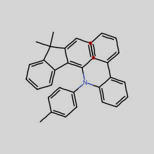 Cc1ccc(N(c2ccccc2-c2ccccc2)c2cccc3c2-c2ccccc2C3(C)C)cc1